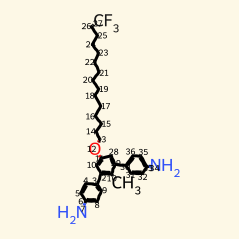 Cc1c(-c2ccc(N)cc2)cc(OCCCCCCCCCCCCCCC(F)(F)F)cc1-c1ccc(N)cc1